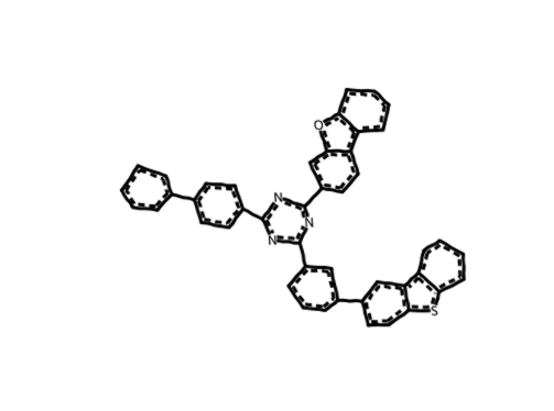 c1ccc(-c2ccc(-c3nc(-c4cccc(-c5ccc6sc7ccccc7c6c5)c4)nc(-c4ccc5c(c4)oc4ccccc45)n3)cc2)cc1